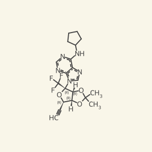 C#C[C@H]1O[C@@](n2cnc3c(NC4CCCC4)ncnc32)(C(F)(F)F)[C@@H]2OC(C)(C)O[C@@H]21